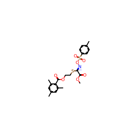 COC(=O)/C(=N/OS(=O)(=O)c1ccc(C)cc1)SCCOC(=O)c1c(C)cc(C)cc1C